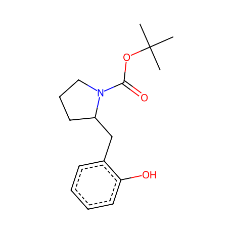 CC(C)(C)OC(=O)N1CCCC1Cc1ccccc1O